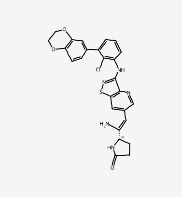 NC(=Cc1cnc2c(Nc3cccc(-c4ccc5c(c4)OCCO5)c3Cl)nsc2c1)[C@@H]1CCC(=O)N1